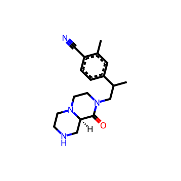 Cc1cc(C(C)CN2CCN3CCNC[C@@H]3C2=O)ccc1C#N